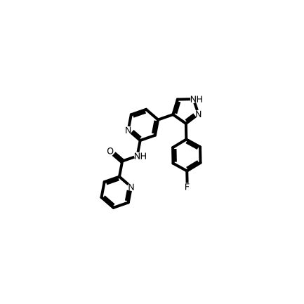 O=C(Nc1cc(-c2c[nH]nc2-c2ccc(F)cc2)ccn1)c1ccccn1